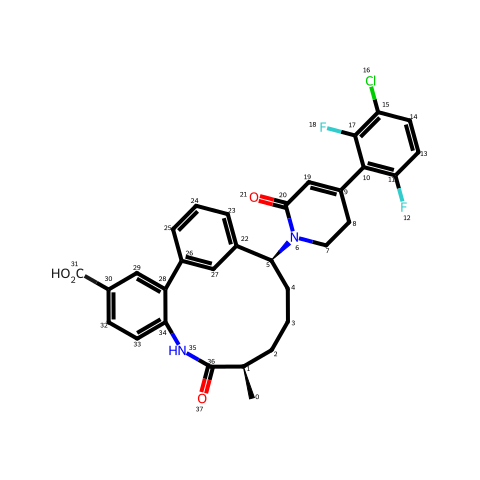 C[C@@H]1CCC[C@H](N2CCC(c3c(F)ccc(Cl)c3F)=CC2=O)c2cccc(c2)-c2cc(C(=O)O)ccc2NC1=O